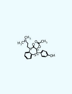 CC(=O)O[C@@H]1C(=O)N(CCN(C)C)c2ccccc2S[C@@H]1c1ccc(O)cc1